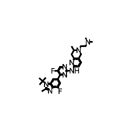 Cc1nc2c(F)cc(-c3nc(Nc4ccc5c(n4)CC(C)N(CCN(C)C)C5)ncc3F)cc2n1C(C)(C)C